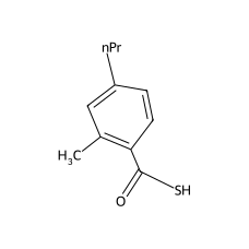 CCCc1ccc(C(=O)S)c(C)c1